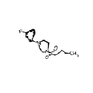 CCCCS(=O)(=O)N1CCN(c2ccc(F)cc2)CC1